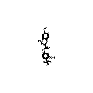 COc1ccc2c(c1)NCC(C(=O)Nc1ccc(C(C)(C)C)c(O)c1)O2